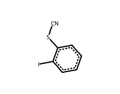 N#CSc1ccccc1I